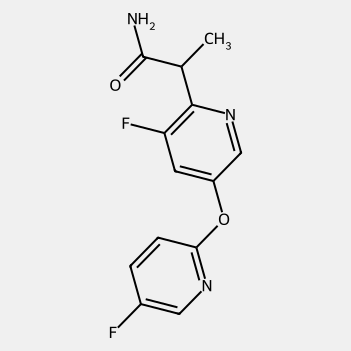 CC(C(N)=O)c1ncc(Oc2ccc(F)cn2)cc1F